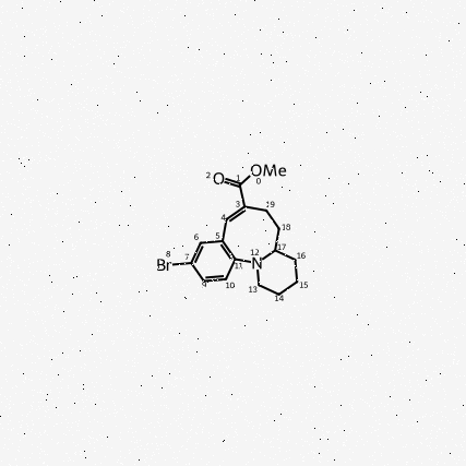 COC(=O)/C1=C/c2cc(Br)ccc2N2CCCCC2CC1